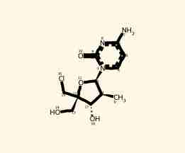 C[C@@H]1[C@H](n2ccc(N)nc2=O)O[C@@](CO)(CCl)[C@H]1O